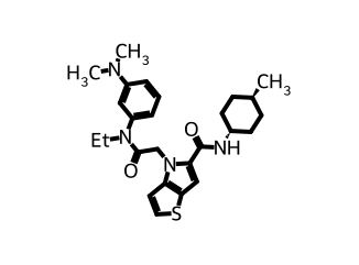 CCN(C(=O)Cn1c(C(=O)N[C@H]2CC[C@H](C)CC2)cc2sccc21)c1cccc(N(C)C)c1